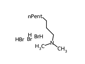 Br.Br.Br.CCCCCCCCN(C)C